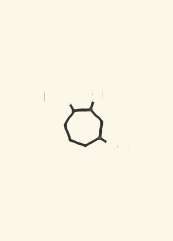 CC1CCCC(O)CC1C